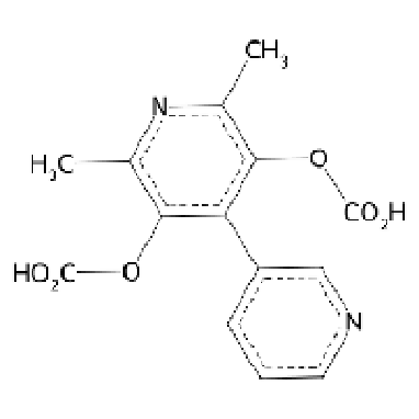 Cc1nc(C)c(OC(=O)O)c(-c2cccnc2)c1OC(=O)O